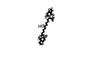 CC(C)(CCCCC(O)CCCCC(C1CC1)N1C(=S)C=C2SCCC2C1=S)N1C(=S)C=C2SCCC2C1=S